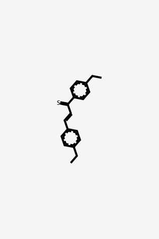 CCc1ccc(C=CC(=S)c2ccc(CC)cc2)cc1